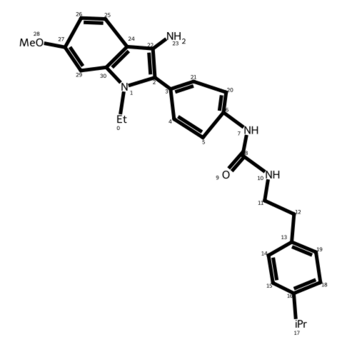 CCn1c(-c2ccc(NC(=O)NCCc3ccc(C(C)C)cc3)cc2)c(N)c2ccc(OC)cc21